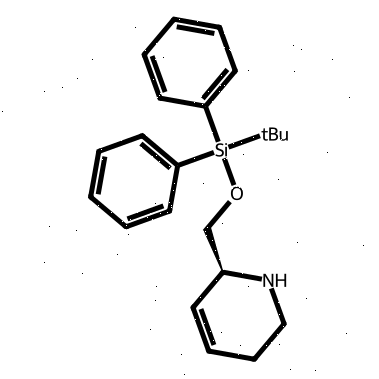 CC(C)(C)[Si](OC[C@@H]1C=CCCN1)(c1ccccc1)c1ccccc1